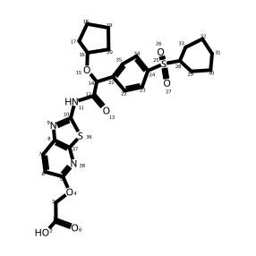 O=C(O)COc1ccc2nc(NC(=O)C(OC3CCCC3)c3ccc(S(=O)(=O)C4CCCCC4)cc3)sc2n1